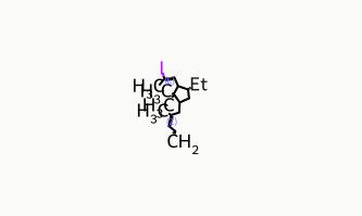 C=C/C=C(/C)CC1CC(CC)C(/C=C(\C)I)C1(C)C